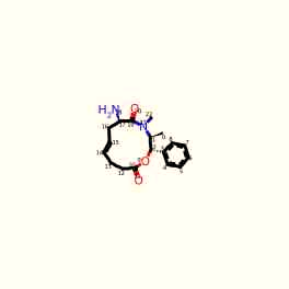 C[C@H]1[C@H](c2ccccc2)OC(=O)CC/C=C/C[C@@H](N)C(=O)N1C